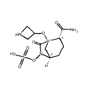 NC(=O)[C@@H]1CC[C@@H]2C[N+]1(OC1CNC1)C(=O)N2OS(=O)(=O)O